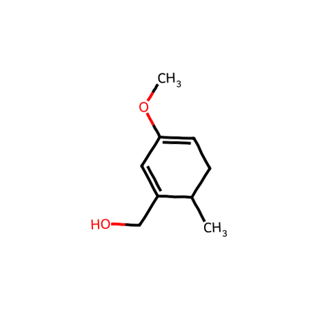 COC1=CCC(C)C(CO)=C1